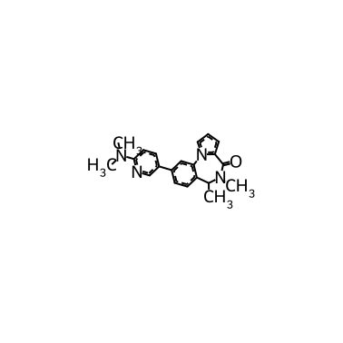 CC1c2ccc(-c3ccc(N(C)C)nc3)cc2-n2cccc2C(=O)N1C